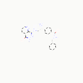 C[C@H](Nc1nn(C)c(=O)c2cccnc12)[C@H](c1ccc(C(=O)N(C)Cc2ccccc2)cc1)N(C)C